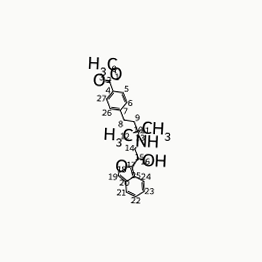 COC(=O)c1ccc(CCC(C)(C)NCC(O)c2occ3ccccc23)cc1